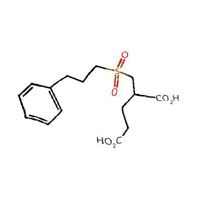 O=C(O)CCC(CS(=O)(=O)CCCc1ccccc1)C(=O)O